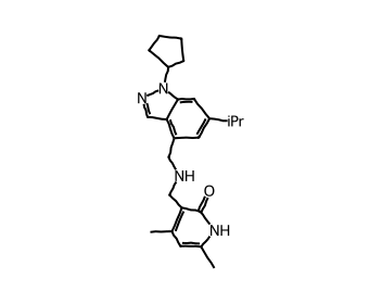 Cc1cc(C)c(CNCc2cc(C(C)C)cc3c2cnn3C2CCCC2)c(=O)[nH]1